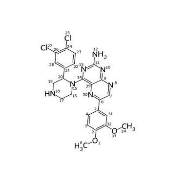 COc1ccc(-c2cnc3nc(N)nc(N4CCNCC4c4ccc(Cl)c(Cl)c4)c3n2)cc1OC